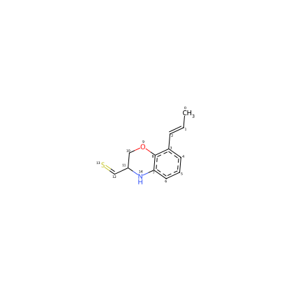 CC=Cc1cccc2c1OCC(C=S)N2